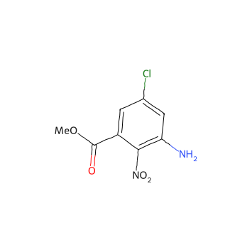 COC(=O)c1cc(Cl)cc(N)c1[N+](=O)[O-]